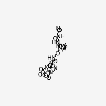 CC(C)(C)[Si](F)(c1cc(NCC(=O)NCc2cccnc2)nn1CCOCCNC(=O)CN1CCN2CCN3CCN(CC1)CC(=O)[O][Ga]([O]C(=O)C2)[O]C(=O)C3)C(C)(C)C